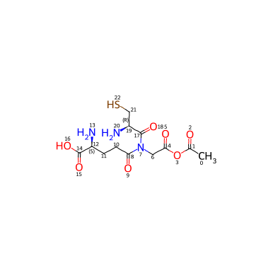 CC(=O)OC(=O)CN(C(=O)CC[C@H](N)C(=O)O)C(=O)[C@@H](N)CS